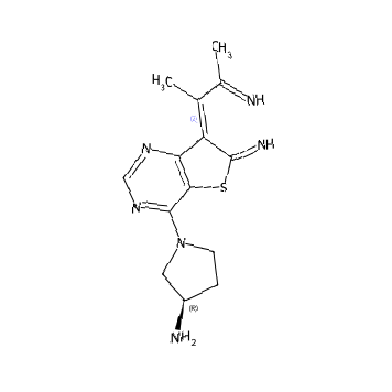 CC(=N)/C(C)=C1\C(=N)Sc2c1ncnc2N1CC[C@@H](N)C1